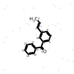 C/C=C/c1cccc(C(=O)c2ccccc2)c1